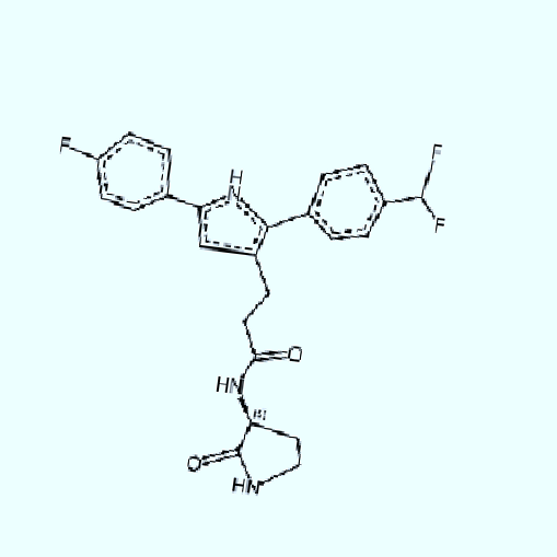 O=C(CCc1cc(-c2ccc(F)cc2)[nH]c1-c1ccc(C(F)F)cc1)N[C@H]1CCNC1=O